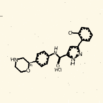 Cl.O=C(Nc1ccc([C@@H]2CNCCO2)cc1)c1cc(-c2ccccc2Cl)n[nH]1